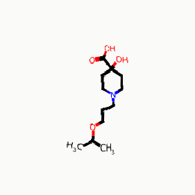 CC(C)OCCCN1CCC(O)(C(=O)O)CC1